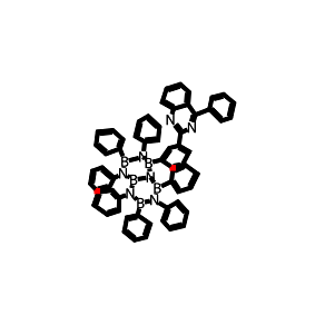 c1ccc(B2N3B(c4cccc(-c5nc(-c6ccccc6)c6ccccc6n5)c4)N(c4ccccc4)B(c4ccccc4)N(c4ccccc4)B3N(c3ccccc3)B(c3ccccc3)N2c2ccccc2)cc1